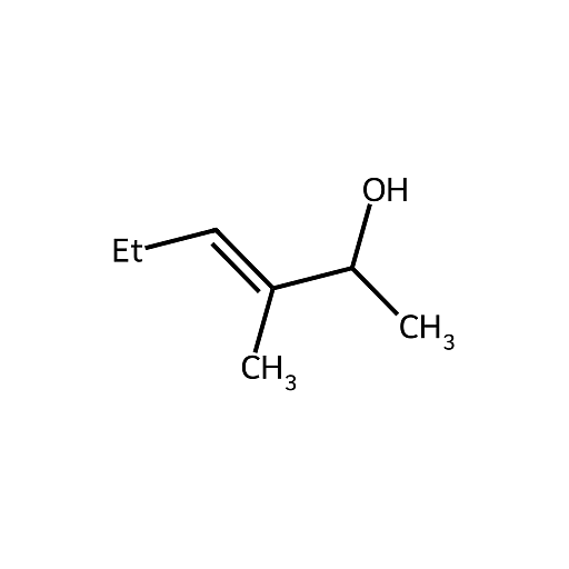 CC/C=C(\C)C(C)O